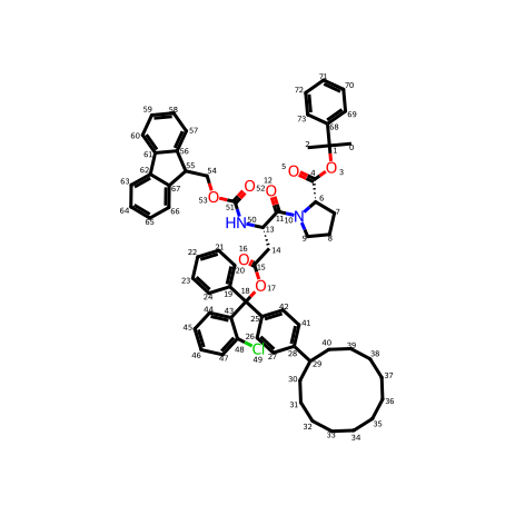 CC(C)(OC(=O)[C@@H]1CCCN1C(=O)[C@H](CC(=O)OC(c1ccccc1)(c1ccc(C2CCCCCCCCCCC2)cc1)c1ccccc1Cl)NC(=O)OCC1c2ccccc2-c2ccccc21)c1ccccc1